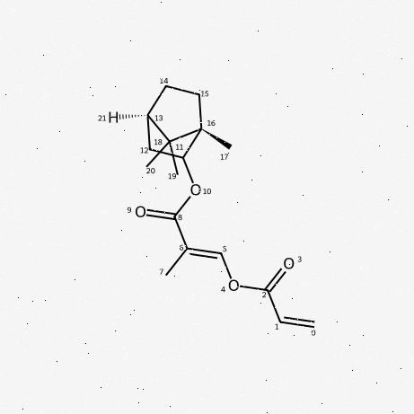 C=CC(=O)OC=C(C)C(=O)OC1C[C@H]2CC[C@@]1(C)C2(C)C